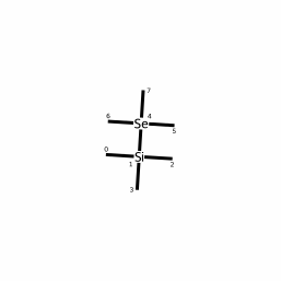 C[Si](C)(C)[Se](C)(C)C